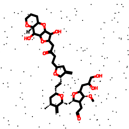 C=C1CC(CCC(=O)CC2OC3C(OC4CCCO[C@@H]4C3O)C2O)O[C@H]1CC[C@H]1C[C@@H](C)C(=C)[C@@H](C[C@@H]2OC(CC(O)CO)[C@H](OC)C2CC=O)O1